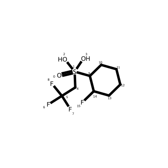 O=S(O)(O)(CC(F)(F)F)C1CCCCC1F